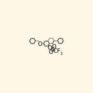 O=S(=O)(OC1=C(c2ccccc2)CCc2cc(OCc3ccccc3)ccc21)C(F)(F)F